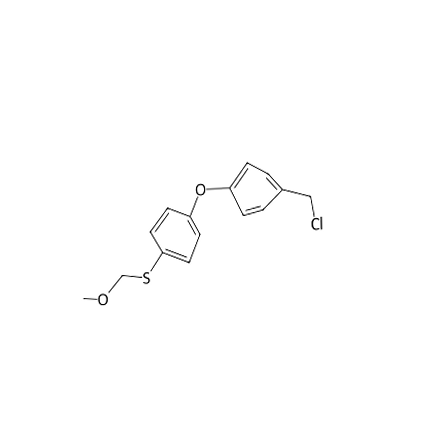 COCSc1ccc(Oc2ccc(CCl)cc2)cc1